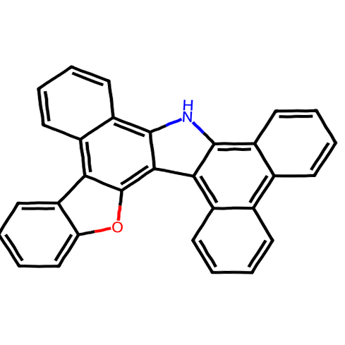 c1ccc2c(c1)oc1c2c2ccccc2c2[nH]c3c4ccccc4c4ccccc4c3c21